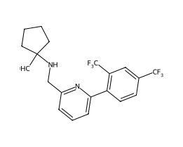 [CH]C1(NCc2cccc(-c3ccc(C(F)(F)F)cc3C(F)(F)F)n2)CCCC1